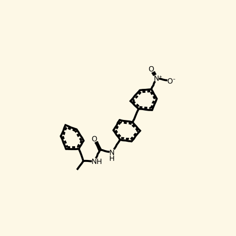 CC(NC(=O)Nc1ccc(-c2ccc([N+](=O)[O-])cc2)cc1)c1ccccc1